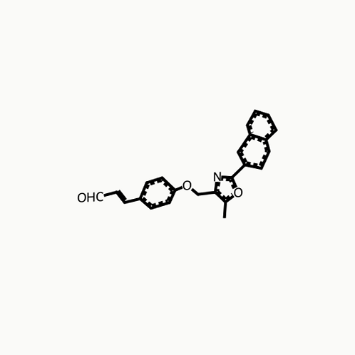 Cc1oc(-c2ccc3ccccc3c2)nc1COc1ccc(/C=C/C=O)cc1